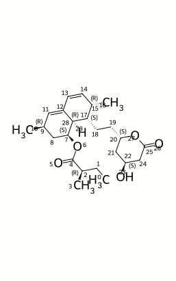 CC[C@@H](C)C(=O)O[C@H]1C[C@@H](C)C=C2C=C[C@H](C)[C@H](CC[C@H]3C[C@H](O)CC(=O)O3)[C@H]21